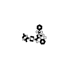 Cc1cnc(C)c(N2CCN(C(=O)C3CN(S(=O)(=O)c4ccccc4)C(=O)N3c3ccccc3Cl)CC2)n1